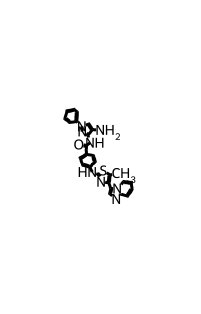 Cc1sc(Nc2ccc(C(=O)Nc3nn(-c4ccccc4)cc3N)cc2)nc1-c1cnc2ccccn12